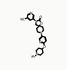 CC(C)N1CCC(Oc2ccc(N3CCC4(CC3)CN(c3cncc(C#N)c3)C(=O)O4)cn2)CC1